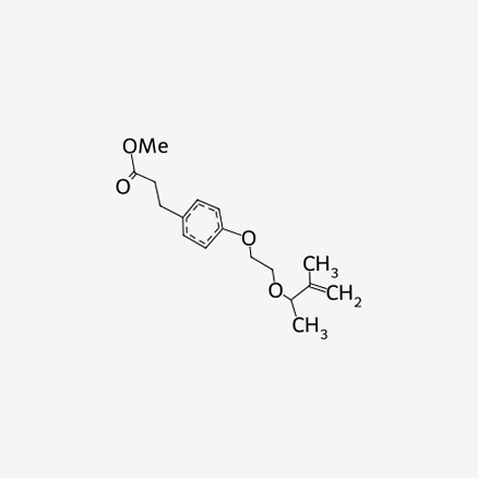 C=C(C)C(C)OCCOc1ccc(CCC(=O)OC)cc1